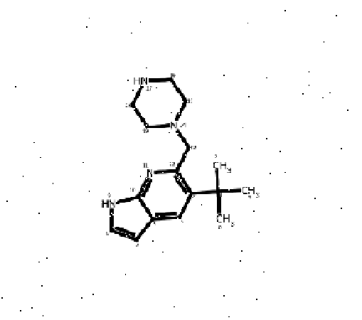 CC(C)(C)c1cc2cc[nH]c2nc1CN1CCNCC1